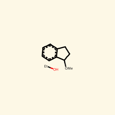 CCO.COC1CCc2ccccc21